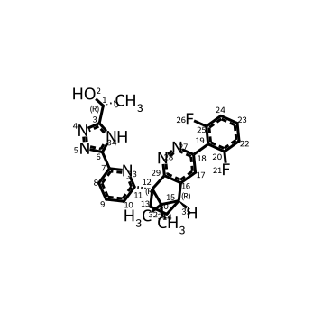 C[C@@H](O)c1nnc(-c2cccc([C@]34CC[C@@H](c5cc(-c6c(F)cccc6F)nnc53)C4(C)C)n2)[nH]1